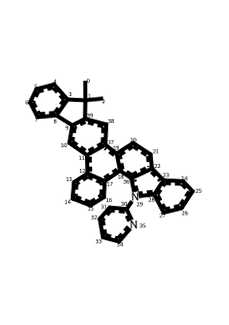 CC1(C)c2ccccc2-c2cc3c4ccccc4c4c(ccc5c6ccccc6n(-c6ccccn6)c54)c3cc21